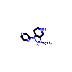 CN1NN(c2cnccn2)C2=C1CNCC2